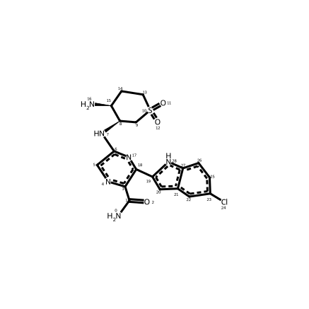 NC(=O)c1ncc(N[C@@H]2CS(=O)(=O)CC[C@@H]2N)nc1-c1cc2cc(Cl)ccc2[nH]1